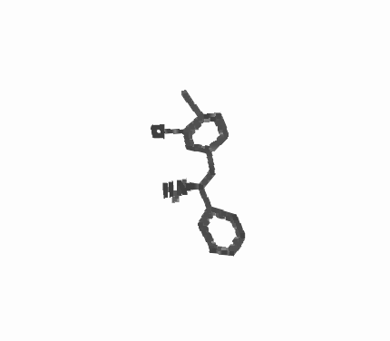 Cc1ccc(C[C@H](N)c2ccccc2)cc1Cl